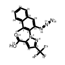 Cc1c(-n2nc(C(F)(F)F)cc2C(=O)O)c(N=[N+]=[N-])cc2ccccc12